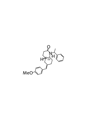 COc1ccc(C=C2CC[C@H]3[C@@H](CCC(=O)N3C(C)c3ccccc3)C2)cc1